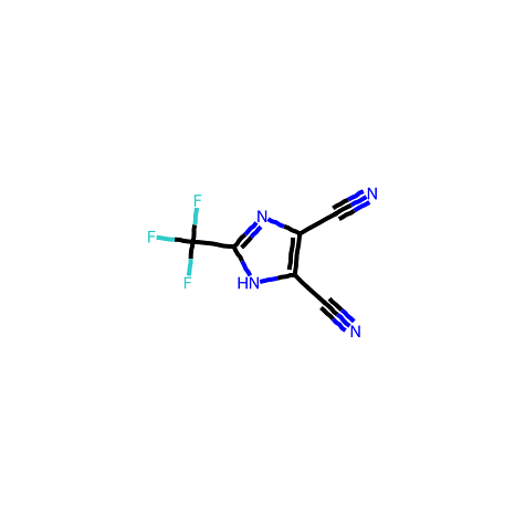 N#Cc1nc(C(F)(F)F)[nH]c1C#N